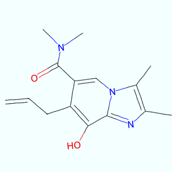 C=CCc1c(C(=O)N(C)C)cn2c(C)c(C)nc2c1O